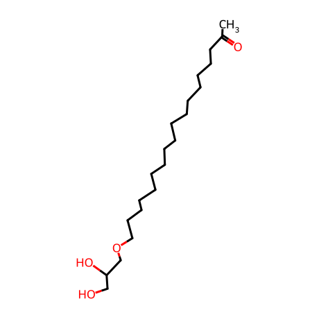 CC(=O)CCCCCCCCCCCCCCCCOCC(O)CO